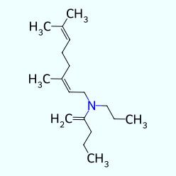 C=C(CCC)N(C/C=C(/C)CCC=C(C)C)CCC